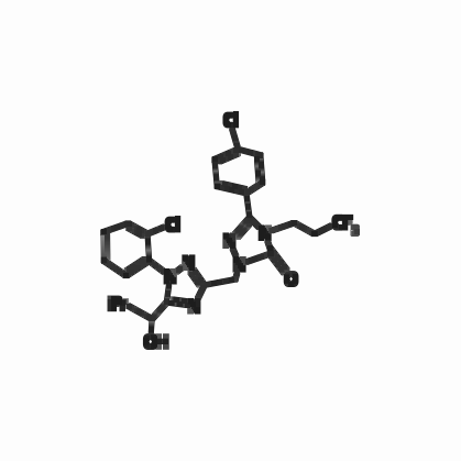 CC(C)C(O)c1nc(Cn2nc(-c3ccc(Cl)cc3)n(CCC(F)(F)F)c2=O)nn1-c1ccccc1Cl